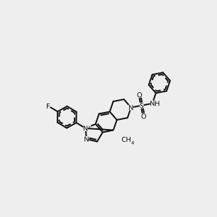 C.O=S(=O)(Nc1ccccc1)N1CCC2=CC3=C4C=N[N+]3(c3ccc(F)cc3)C4C2C1